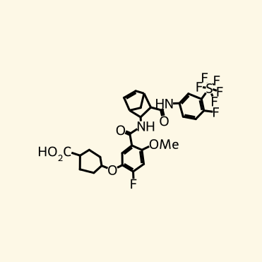 COc1cc(F)c(OC2CCC(C(=O)O)CC2)cc1C(=O)NC1C2C=CC(C2)C1C(=O)Nc1ccc(F)c(S(F)(F)(F)(F)F)c1